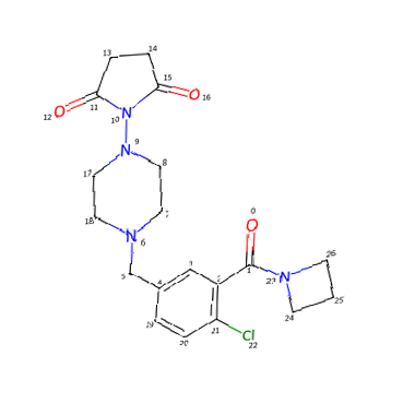 O=C(c1cc(CN2CCN(N3C(=O)CCC3=O)CC2)ccc1Cl)N1CCC1